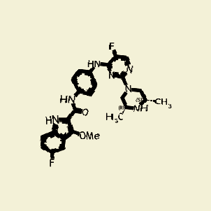 COc1c(C(=O)Nc2ccc(Nc3nc(N4C[C@@H](C)N[C@@H](C)C4)ncc3F)cc2)[nH]c2ccc(F)cc12